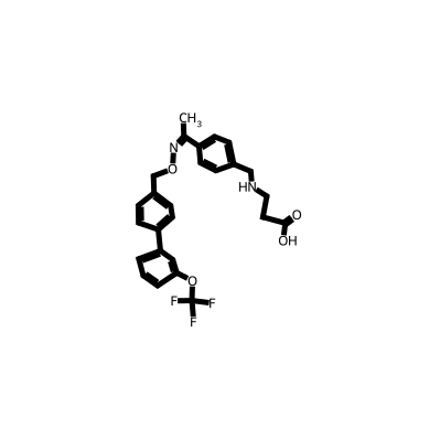 CC(=NOCc1ccc(-c2cccc(OC(F)(F)F)c2)cc1)c1ccc(CNCCC(=O)O)cc1